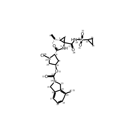 C=C[C@@H]1C[C@]1(NC(=O)[C@@H]1C[C@@H](OC(=O)N2Cc3cccc(F)c3C2)CN1Cl)C(=O)NS(=O)(=O)C1CC1